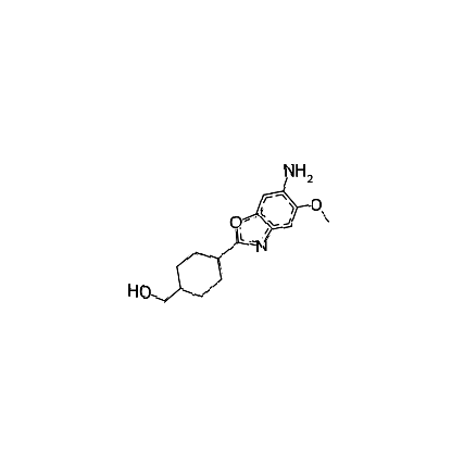 COc1cc2nc(C3CCC(CO)CC3)oc2cc1N